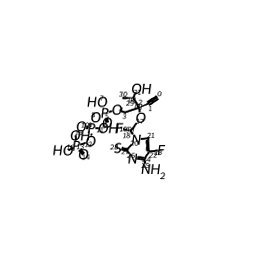 C#C[C@](COP(=O)(O)OP(=O)(O)OP(=O)(O)O)(O[C@H](F)n1cc(F)c(N)nc1=S)[C@@H](C)O